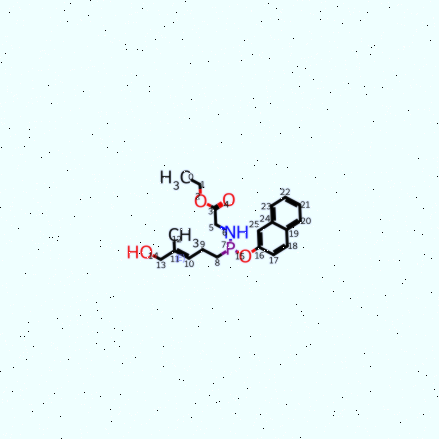 CCOC(=O)CNP(CC/C=C(\C)CO)Oc1ccc2ccccc2c1